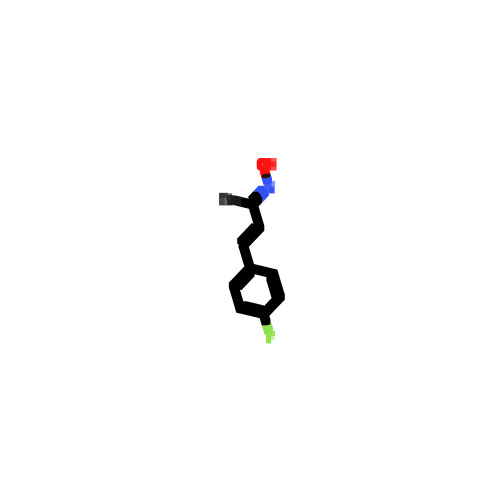 CCC(/C=C/c1ccc(F)cc1)=N\O